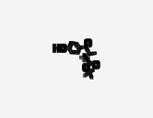 CC(C(=O)c1ccc(O)cc1)N(C)C(=O)OC(C)(C)C